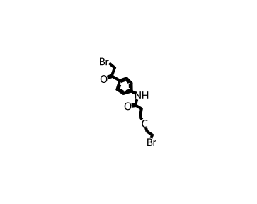 O=C(CCCCCBr)Nc1ccc(C(=O)CBr)cc1